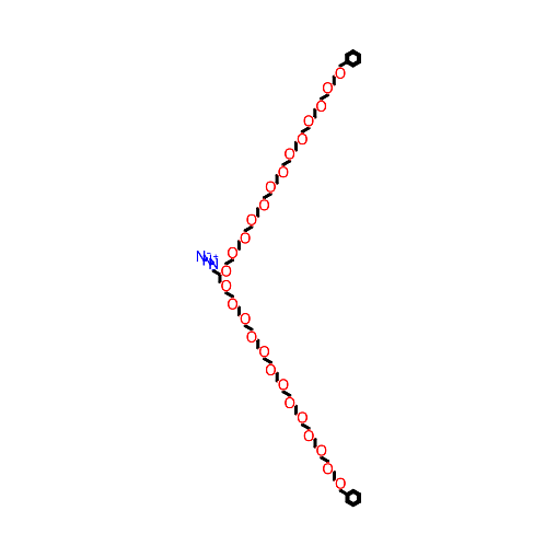 [N-]=[N+]=NCC(COCCOCCOCCOCCOCCOCCOCCOCCOCCOCCOCCOCCOCc1ccccc1)OCCOCCOCCOCCOCCOCCOCCOCCOCCOCCOCCOCCOCc1ccccc1